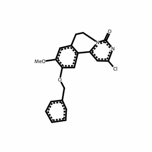 COc1cc2c(cc1OCc1ccccc1)-c1cc(Cl)nc(=O)n1CC2